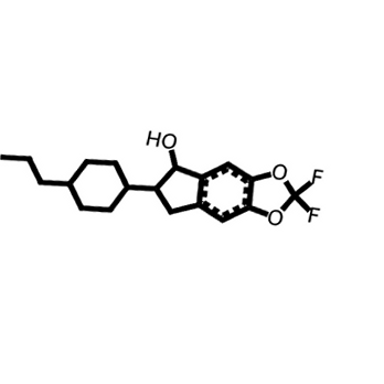 CCCC1CCC(C2Cc3cc4c(cc3C2O)OC(F)(F)O4)CC1